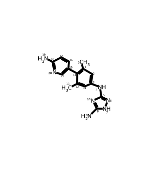 Cc1cc(Nc2n[nH]c(N)n2)cc(C)c1-c1ccc(N)nc1